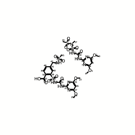 COc1cc(OC)nc(NC(=O)NS(=O)(=O)N(C)S(C)(=O)=O)n1.COc1cc(OC)nc(NC(=O)NS(=O)(=O)c2cc(CNS(C)(=O)=O)ccc2C(=O)O)n1